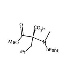 CCCCCN(C)[C@@](CC(C)C)(C(=O)O)C(=O)OC